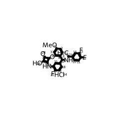 COc1ccc(C(NC(C)c2ccc(F)c(F)c2)c2ccc(F)c(Nc3c(O)c(=O)c3=O)c2)cc1.Cl